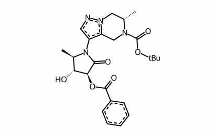 C[C@@H]1[C@@H](O)[C@H](OC(=O)c2ccccc2)C(=O)N1c1cnn2c1CN(C(=O)OC(C)(C)C)[C@@H](C)C2